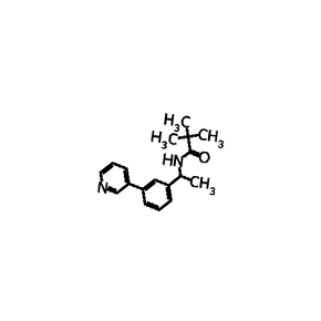 CC(NC(=O)C(C)(C)C)c1cccc(-c2cccnc2)c1